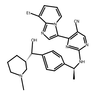 CCc1cccn2c(-c3nc(N[C@@H](C)c4ccc(C(O)[C@H]5CCCN(C)C5)cc4)ncc3C#N)cnc12